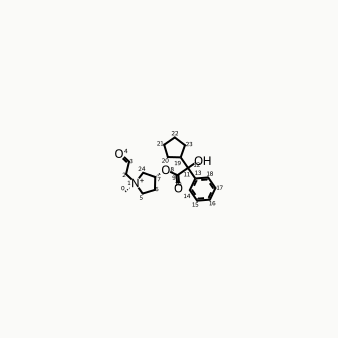 C[N@@+]1(CC=O)CC[C@@H](OC(=O)C(O)(c2ccccc2)C2CCCC2)C1